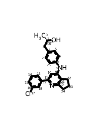 C[C@H](O)Cc1ccc(Nc2cc(-c3cccc(Cl)c3)nc3c2CCC3)cc1